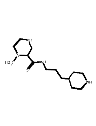 O=C(NCCCC1CCNCC1)C1CNCCN1C(=O)O